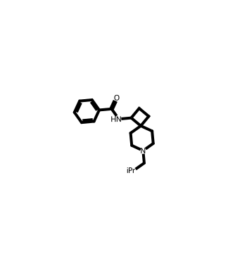 CC(C)CN1CCC2(CCC2NC(=O)c2ccccc2)CC1